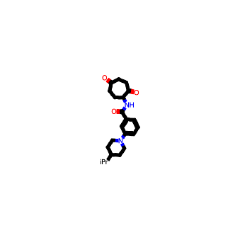 CC(C)C1CCN(c2cccc(C(=O)NC3CCC(=O)CCC3=O)c2)CC1